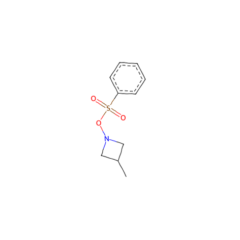 CC1CN(OS(=O)(=O)c2ccccc2)C1